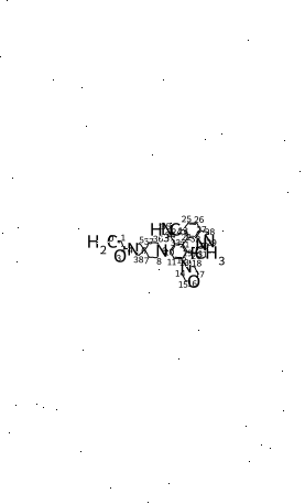 C=CC(=O)N1CC2(CCN(c3cc(N4CCOCC4)c(F)c(-c4c(C)ccc5cnn(C)c45)c3C#N)CC2)C1